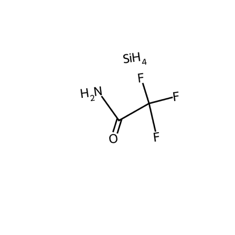 NC(=O)C(F)(F)F.[SiH4]